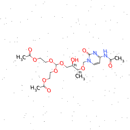 CC(=O)Nc1ccn(CO[C@H](C)[C@H](O)COC(OCCOC(C)=O)OCCOC(C)=O)c(=O)n1